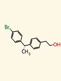 C[C@H](c1ccc(Br)cc1)c1ccc(CCO)cc1